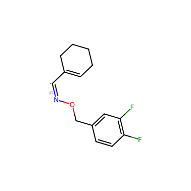 Fc1ccc(CO/N=[C]\C2=CCCCC2)cc1F